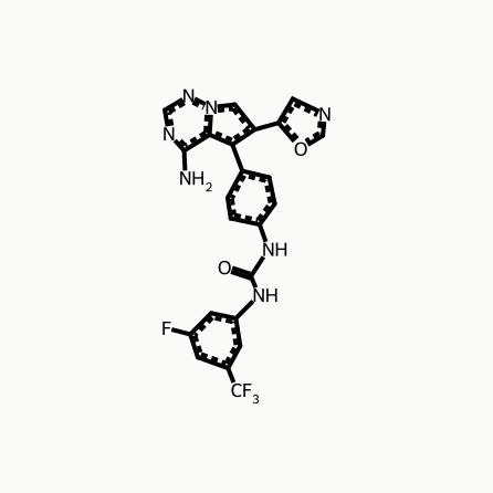 Nc1ncnn2cc(-c3cnco3)c(-c3ccc(NC(=O)Nc4cc(F)cc(C(F)(F)F)c4)cc3)c12